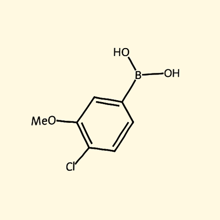 COc1cc(B(O)O)ccc1Cl